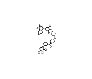 COc1cc(-c2cn(C)c(=O)c3cnccc23)cc(OC)c1CN1CCC(OC2CCN(C(=O)c3cccc(-n4ccc(=O)[nH]c4=O)c3)CC2)CC1